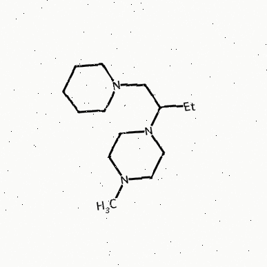 [CH2]CC(CN1CCCCC1)N1CCN(C)CC1